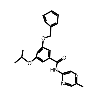 Cc1cnc(NC(=O)c2cc(OCc3ccccc3)cc(OC(C)C)c2)cn1